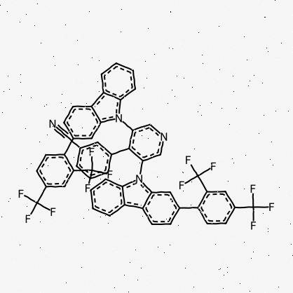 N#Cc1cccc(-c2c(-n3c4ccccc4c4ccc(-c5ccc(C(F)(F)F)cc5C(F)(F)F)cc43)cncc2-n2c3ccccc3c3ccc(-c4ccc(C(F)(F)F)cc4C(F)(F)F)cc32)c1